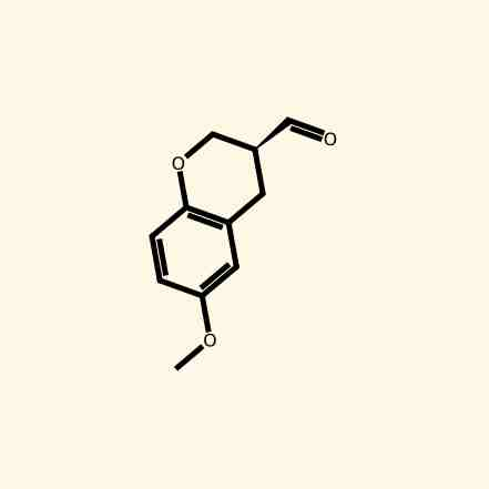 COc1ccc2c(c1)C[C@H](C=O)CO2